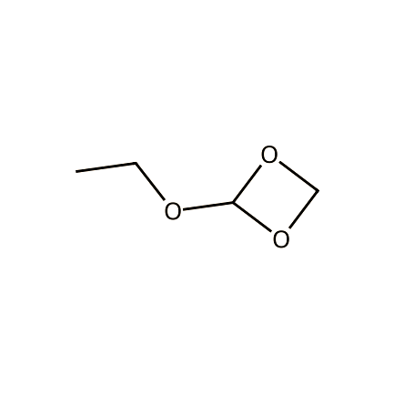 CCOC1OCO1